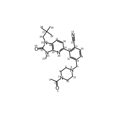 CC(=O)N1CCN(Cc2ccc(C#N)c(-c3ccc4c(n3)n(C)c(=O)n4CC(C)(C)C)c2)CC1